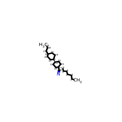 CCCCCCC[C@]1(C#N)CC[C@@H](C2CCC(CCC)CC2)CC1